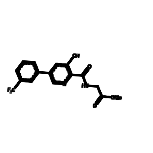 COC(=O)CNC(=O)c1ncc(-c2cccc(C(F)(F)F)c2)cc1O